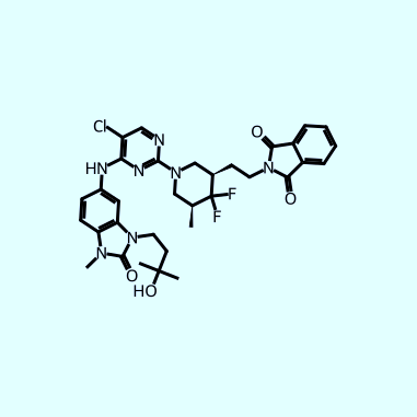 C[C@H]1CN(c2ncc(Cl)c(Nc3ccc4c(c3)n(CCC(C)(C)O)c(=O)n4C)n2)C[C@@H](CCN2C(=O)c3ccccc3C2=O)C1(F)F